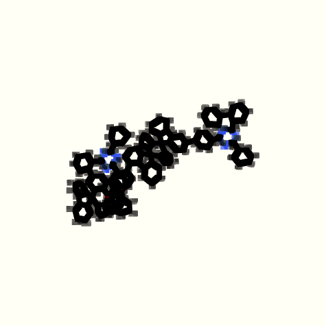 c1ccc(-c2ccc(-c3cccc4c3-c3ccccc3C43c4ccccc4C4(c5ccccc5-c5cc(-c6ccc(-c7nc(-c8ccccc8)nc(-c8ccccc8-c8ccccc8)n7)cc6)ccc54)c4ccccc43)c(-c3nc(-c4ccccc4)nc(-c4ccccc4-c4ccc5c(c4)C4(c6ccccc6-c6ccccc64)c4ccccc4C54c5ccccc5-c5ccccc54)n3)c2)cc1